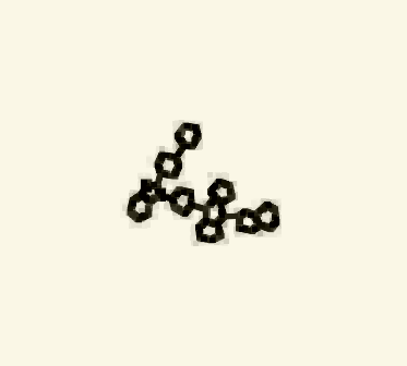 c1ccc(-c2ccc(-c3nc4ccccc4n3-c3ccc(-c4c5ccccc5c(-c5ccc6ccccc6c5)c5ccccc45)cc3)cc2)cc1